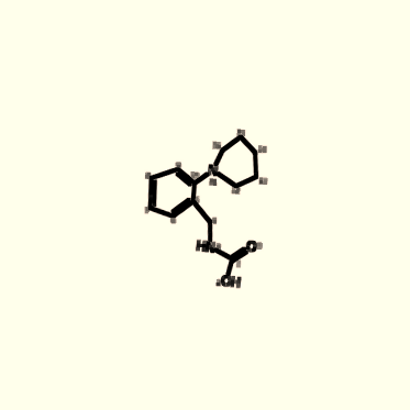 O=C(O)NCc1ccccc1N1CCCCC1